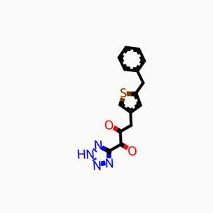 O=C(Cc1csc(Cc2ccccc2)c1)C(=O)c1nn[nH]n1